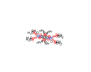 C=C(C)C(=O)OCCOCCN(CCOCCOC(=O)C(=C)C)C(=O)C(CCC1CCCCCC1)N1C(=O)c2cc(Oc3ccc(CCC)cc3)c3c4c(Oc5ccc(CCC)cc5)cc5c6c(cc(Oc7ccc(CCC)cc7)c(c7c(Oc8ccc(CCC)cc8)cc(c2c37)C1=O)c64)C(=O)N(C(CCC1CCCCCC1)C(=O)N(CCOCCOC(=O)C(=C)C)CCOCCOC(=O)C(=C)C)C5=O